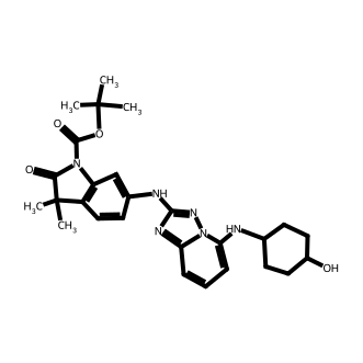 CC(C)(C)OC(=O)N1C(=O)C(C)(C)c2ccc(Nc3nc4cccc(NC5CCC(O)CC5)n4n3)cc21